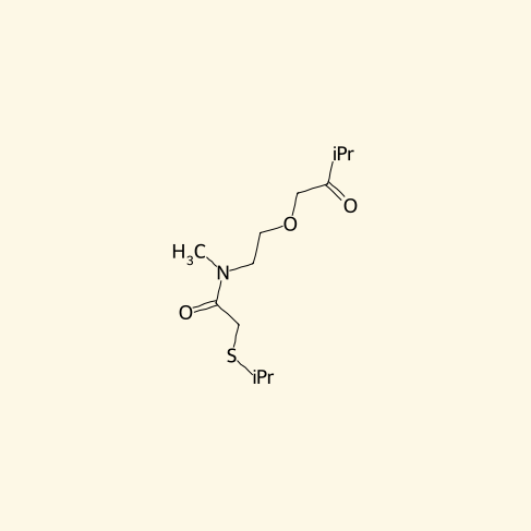 CC(C)SCC(=O)N(C)CCOCC(=O)C(C)C